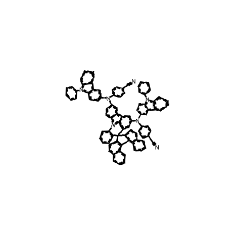 N#Cc1ccc(N(c2ccc3c(c2)c2ccccc2n3-c2ccccc2)c2ccc3c(c2)c2cc(N(c4ccc(C#N)cc4)c4ccc5c(c4)c4ccccc4n5-c4ccccc4)cc4c2n3-c2ccccc2C42c3ccc4ccccc4c3-c3c2ccc2ccccc32)cc1